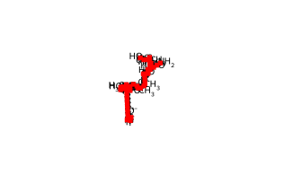 CC(C)[C@H](NC(=O)CCC(=O)O)C(=O)N[C@@H](CCCNC(N)=O)C(=O)Nc1ccc(COC(=O)N(C)CCN(C)C(=O)Oc2ccc3c(c2)C[C@@H](CCCCCCCCC[S+]([O-])CCCC(F)(F)C(F)(F)F)[C@@H]2C3CC[C@]3(C)[C@@H](O)CC[C@@H]23)cc1